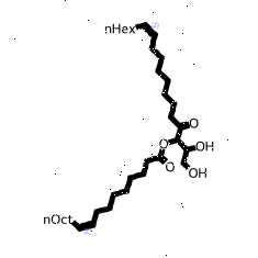 CCCCCC/C=C\CCCCCCCC(=O)C(OC(=O)CCCCCCC/C=C\CCCCCCCC)C(O)CO